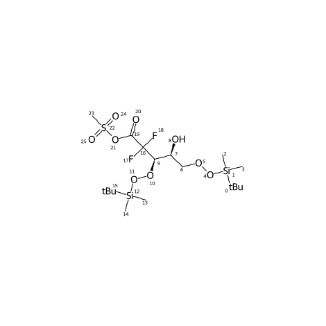 CC(C)(C)[Si](C)(C)OOC[C@H](O)[C@@H](OO[Si](C)(C)C(C)(C)C)C(F)(F)C(=O)OS(C)(=O)=O